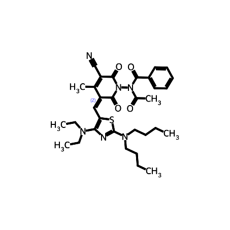 CCCCN(CCCC)c1nc(N(CC)CC)c(/C=C2\C(=O)N(N(C(C)=O)C(=O)c3ccccc3)C(=O)C(C#N)=C2C)s1